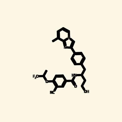 Cc1cccn2cc(-c3ccc(CC(CCO)NC(=O)c4ccc(OC(C)C(F)(F)F)c(C#N)c4)cc3)nc12